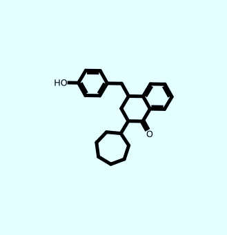 O=C1c2ccccc2C(Cc2ccc(O)cc2)CC1C1CCCCCC1